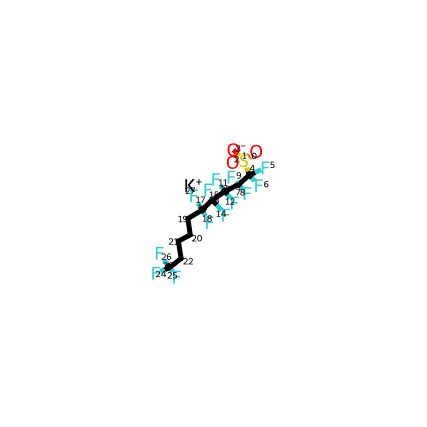 O=S(=O)([O-])C(F)(F)C(F)(F)C(F)(F)C(F)(F)C(F)(F)CCCCC(F)(F)F.[K+]